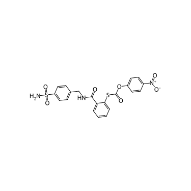 NS(=O)(=O)c1ccc(CNC(=O)c2ccccc2SC(=O)Oc2ccc([N+](=O)[O-])cc2)cc1